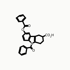 O=C(Oc1ccc2c(c1)c1c(n2C(=O)c2ccccc2)CCC(C(=O)O)C1)c1ccccc1